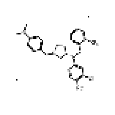 [C-]#[N+]c1ccc(N(Cc2ccccc2C(F)(F)F)[C@H]2CCN(Cc3ccc(N(C)C)cc3)C2)cc1Cl